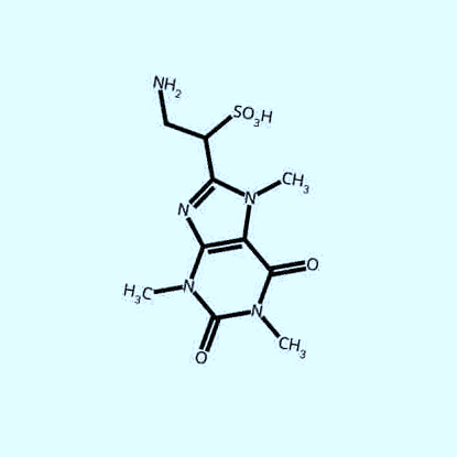 Cn1c(=O)c2c(nc(C(CN)S(=O)(=O)O)n2C)n(C)c1=O